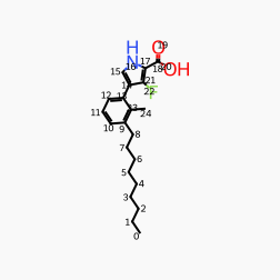 CCCCCCCCCc1cccc(-c2c[nH]c(C(=O)O)c2F)c1C